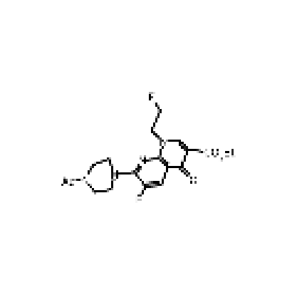 CCOC(=O)c1cn(CCF)c2nc(N3CCN(C(C)=O)CC3)c(F)cc2c1=O